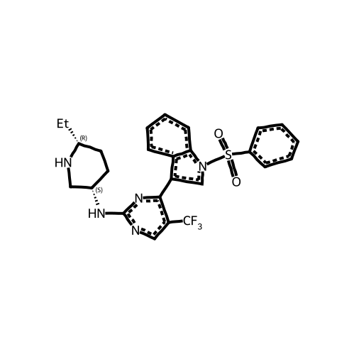 CC[C@@H]1CC[C@H](Nc2ncc(C(F)(F)F)c(-c3cn(S(=O)(=O)c4ccccc4)c4ccccc34)n2)CN1